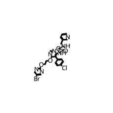 O=S(=O)(NCc1cccnc1)Nc1ncnc(OCCOc2ncc(Br)cn2)c1-c1ccc(Cl)cc1